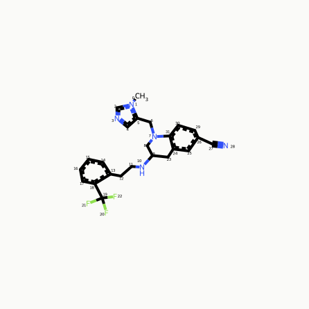 Cn1cncc1CN1CC(NCCc2ccccc2C(F)(F)F)Cc2cc(C#N)ccc21